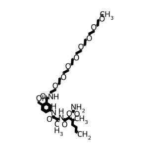 C=CCCC(C)[C@H](OC(N)=O)C(=O)N[C@@H](C)C(=O)Nc1ccc(CO)c(C(=O)NCCOCCOCCOCCOCCOCCOCCOCCOC)c1